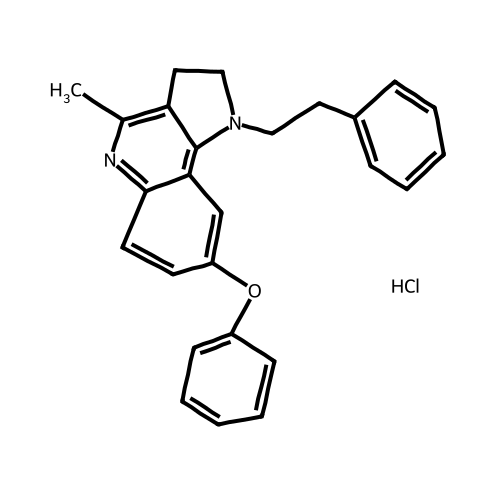 Cc1nc2ccc(Oc3ccccc3)cc2c2c1CCN2CCc1ccccc1.Cl